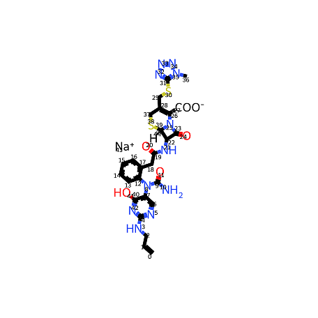 C=CCNc1ncc(N(C(N)=O)c2ccccc2CC(=O)NC2C(=O)N3C(C(=O)[O-])=C(CSc4nnnn4C)CS[C@H]23)c(O)n1.[Na+]